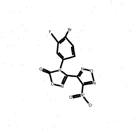 O=c1onc(-c2nonc2[N+](=O)[O-])n1-c1ccc(Br)c(F)c1